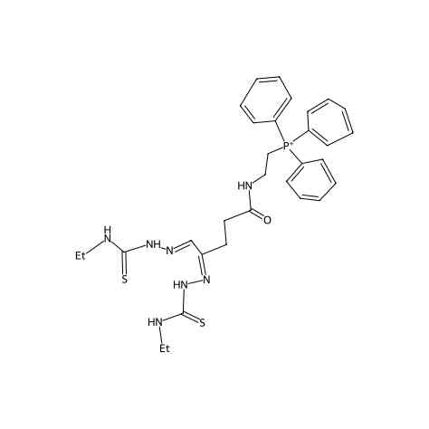 CCNC(=S)N/N=C(\C=N\NC(=S)NCC)CCC(=O)NCC[P+](c1ccccc1)(c1ccccc1)c1ccccc1